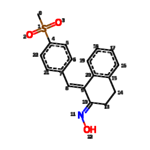 CS(=O)(=O)c1ccc(/C=C2/C(=N/O)CCc3ccccc32)cc1